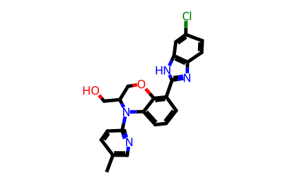 Cc1ccc(N2c3cccc(-c4nc5ccc(Cl)cc5[nH]4)c3OCC2CO)nc1